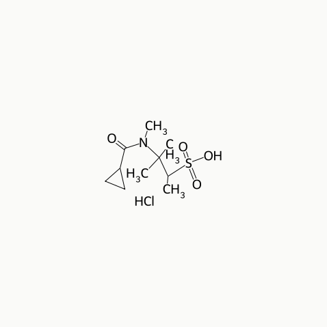 CC(C(C)(C)N(C)C(=O)C1CC1)S(=O)(=O)O.Cl